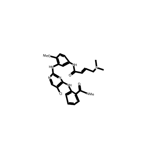 CNC(=O)c1ccccc1Nc1nc(Nc2cc(NC(=O)/C=C/CN(C)C)ccc2OC)ncc1Cl